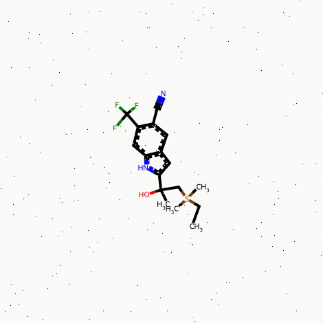 CCS(C)(C)CC(C)(O)c1cc2cc(C#N)c(C(F)(F)F)cc2[nH]1